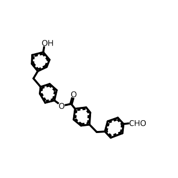 O=Cc1ccc(Cc2ccc(C(=O)Oc3ccc(Cc4ccc(O)cc4)cc3)cc2)cc1